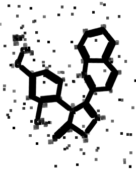 COc1ccc(-n2c(-c3ccc4ccccc4n3)n[n-]c2=S)c(C)c1.[Na+]